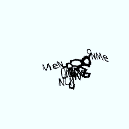 CNC(=O)C1=CC2CCc3cc(C(=O)NC)ccc3C(CC3(NCC(=O)N4CCCC4C#N)CCC3)(c3nnn[nH]3)C2C=C1